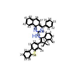 Cc1cccc2c1C(C)(C)C(c1ccc3c(sc4ccccc43)c1C)=C2Nc1nc(-c2ccccc2)c2ccc3ccccc3c2n1